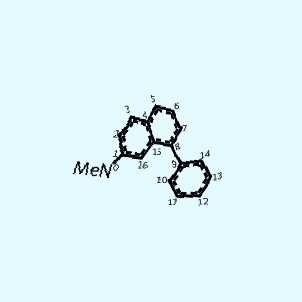 CNc1ccc2cccc(-c3ccccc3)c2c1